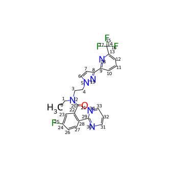 CCN(CCn1ccc(-c2cccc(C(F)(F)F)n2)n1)C(=O)c1cc(F)ccc1-c1ncccn1